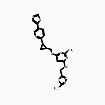 Cc1nc(NCc2nnc(C)s2)cc(OCC2CC2c2ccc(-c3cncs3)cn2)n1